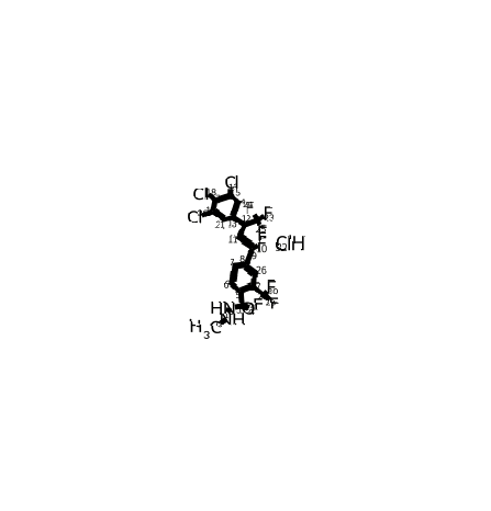 CNNC(=O)c1ccc(/C(F)=C/C(c2cc(Cl)c(Cl)c(Cl)c2)C(F)(F)F)cc1C(F)(F)F.Cl